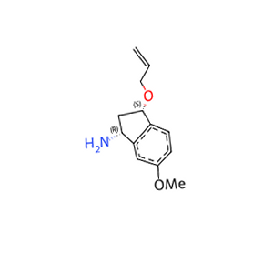 C=CCO[C@H]1C[C@@H](N)c2cc(OC)ccc21